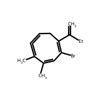 C=C(CC)/C1=C(Br)/C=C(/C)C(C)=C=CC1